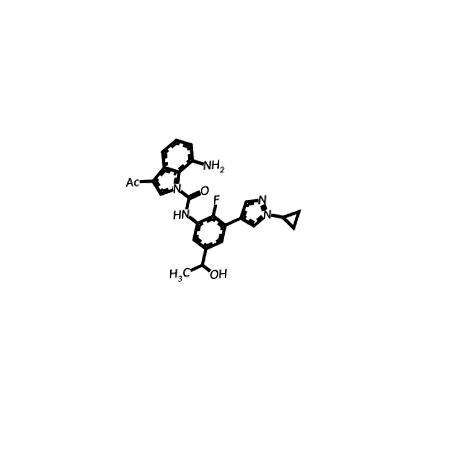 CC(=O)c1cn(C(=O)Nc2cc(C(C)O)cc(-c3cnn(C4CC4)c3)c2F)c2c(N)cccc12